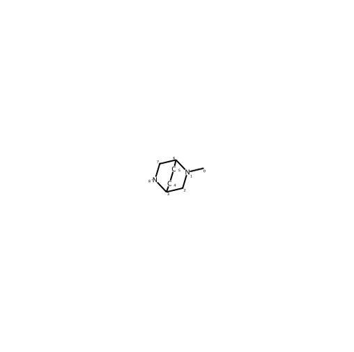 CN1CC2CCC1C[N]2